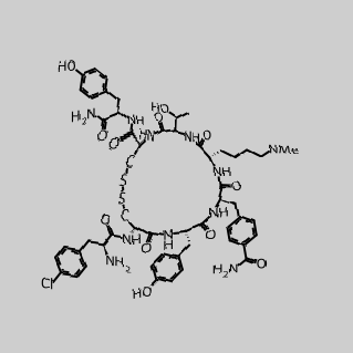 CNCCCC[C@@H]1NC(=O)[C@@H](Cc2ccc(C(N)=O)cc2)NC(=O)[C@H](Cc2ccc(O)cc2)NC(=O)[C@H](NC(=O)[C@@H](N)Cc2ccc(Cl)cc2)CSSC[C@@H](C(=O)N[C@H](Cc2ccc(O)cc2)C(N)=O)NC(=O)C(C(C)O)NC1=O